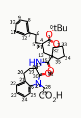 CC(C)(C)OC(=O)[C@H](CCc1ccccc1)CC1(C(=O)N[C@H]2CCc3ccccc3N(CC(=O)O)C2=O)CCCC1